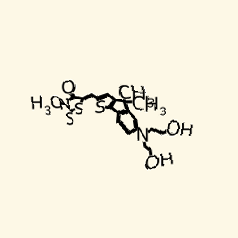 CN1C(=O)/C(=C/c2cc3c(s2)-c2ccc(N(CCO)CCO)cc2C3(C)C)SC1=S